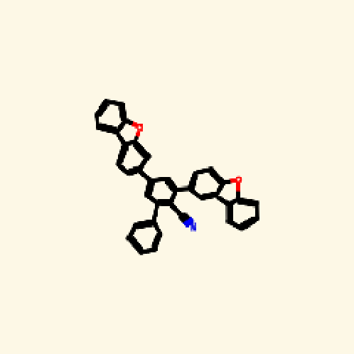 N#Cc1c(-c2ccccc2)cc(-c2ccc3c(c2)oc2ccccc23)cc1-c1ccc2oc3ccccc3c2c1